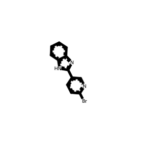 Brc1ccc(-c2nc3ccccc3[nH]2)cn1